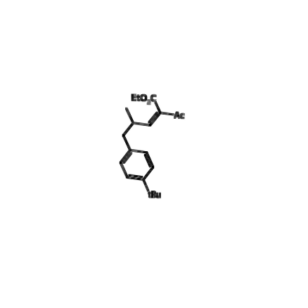 CCOC(=O)/C(=C\C(C)Cc1ccc(C(C)(C)C)cc1)C(C)=O